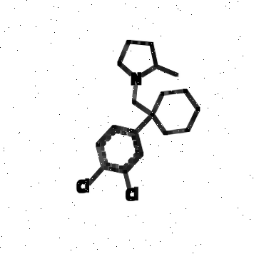 CC1CCCN1CC1(c2ccc(Cl)c(Cl)c2)CCCCC1